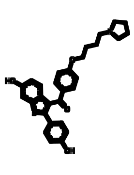 O=C(c1ccc(OCCCCN2CCCC2)cc1)c1c(-c2ccc(O)cc2)sc2cc(O)ccc12